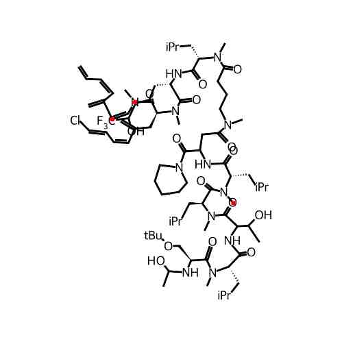 C=C/C=C\C(=C)/C=C\N(C)C(=O)[C@H](CC(=C)/C=C\C=C\Cl)N(C)C(=O)[C@H](CCCC(O)C(F)(F)F)NC(=O)[C@H](CC(C)C)N(C)C(=O)CCCN(C)C(=O)CC(NC(=O)[C@H](CC(C)C)N(C)C(=O)[C@H](CC(C)C)N(C)C(=O)C(NC(=O)[C@H](CC(C)C)N(C)C(=O)[C@H](COC(C)(C)C)NC(C)O)C(C)O)C(=O)N1CCCCC1